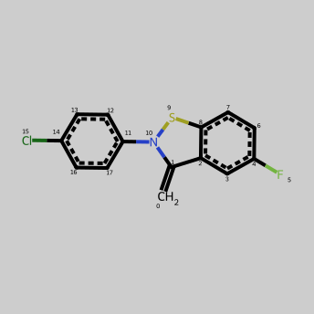 C=C1c2cc(F)ccc2SN1c1ccc(Cl)cc1